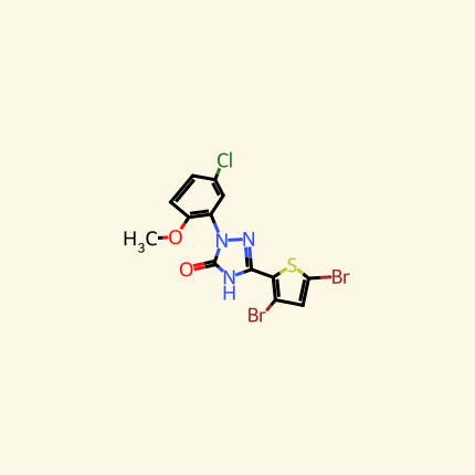 COc1ccc(Cl)cc1-n1nc(-c2sc(Br)cc2Br)[nH]c1=O